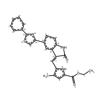 CCOC(=O)c1cc(C)c(/C=C2\C(=O)Nc3ccc(-c4csc(-c5ccccc5)n4)cc32)[nH]1